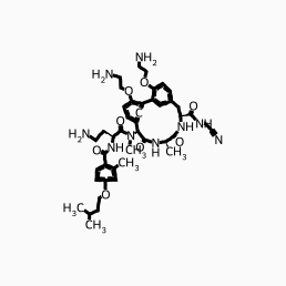 Cc1cc(OCCC(C)C)ccc1C(=O)N[C@@H](CCN)C(=O)N(C)[C@@H]1C(=O)N[C@@H](C)C(=O)N[C@H](C(=O)NCC#N)Cc2ccc(OCCN)c(c2)-c2cc1ccc2OCCN